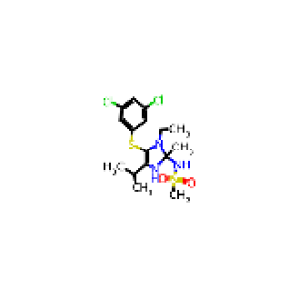 CCN1C(Sc2cc(Cl)cc(Cl)c2)=C(C(C)C)NC1(C)NS(C)(=O)=O